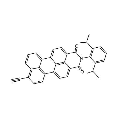 C#Cc1ccc2c3ccc4c5c(ccc(c6cccc1c62)c53)C(=O)N(c1c(C(C)C)cccc1C(C)C)C4=O